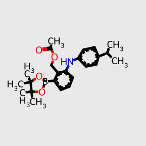 CC(=O)OCc1c(Nc2ccc(C(C)C)cc2)cccc1B1OC(C)(C)C(C)(C)O1